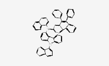 c1ccc(-c2c(-c3ccccc3)c3cc(N(c4cccc5ccccc45)c4cccc5c4c4ccccc4n5-c4cccc5ccccc45)ccc3c3ccccc23)cc1